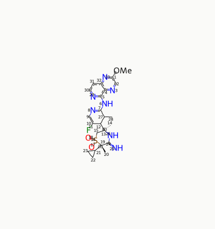 COc1cnc2c(NC3=NC=C(F)C([C@]4(C)CS(=O)(=O)[C@@](C)(C5CC5)C(=N)N4)C3C)nccc2n1